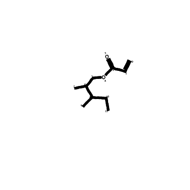 C=CC(=O)OCC(C)C(C)CC